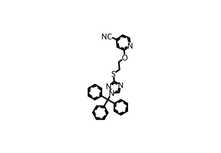 N#Cc1ccnc(OCCSc2ncn(C(c3ccccc3)(c3ccccc3)c3ccccc3)n2)c1